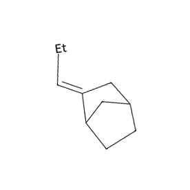 [CH2]CC=C1CC2CCC1C2